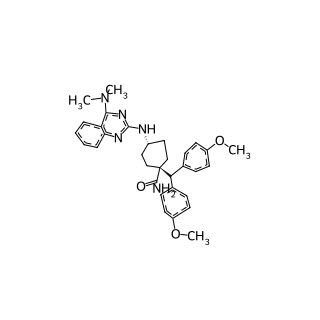 COc1ccc(C(c2ccc(OC)cc2)[C@]2(C(N)=O)CC[C@@H](Nc3nc(N(C)C)c4ccccc4n3)CC2)cc1